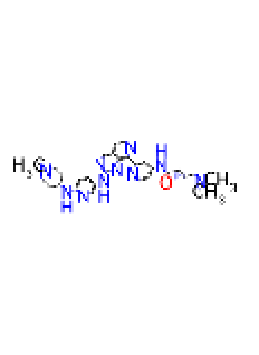 CN(C)C/C=C/C(=O)Nc1ccnc(-c2nccc3cnc(Nc4ccc(NC5CCN(C)CC5)nc4)nc23)c1